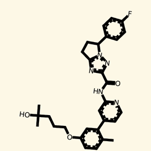 Cc1ccc(OCCCC(C)(C)O)cc1-c1ccnc(NC(=O)c2nc3n(n2)C(c2ccc(F)cc2)CC3)c1